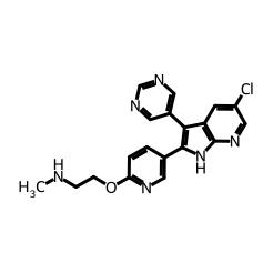 CNCCOc1ccc(-c2[nH]c3ncc(Cl)cc3c2-c2cncnc2)cn1